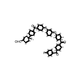 O=CC1=CCC(F)(c2ccc(C(=O)c3ccc(Sc4cccc(Oc5ccc(C(=O)c6ccc(C(=O)c7ccc(F)cc7)cc6)cc5)c4)cc3)cc2)C=C1